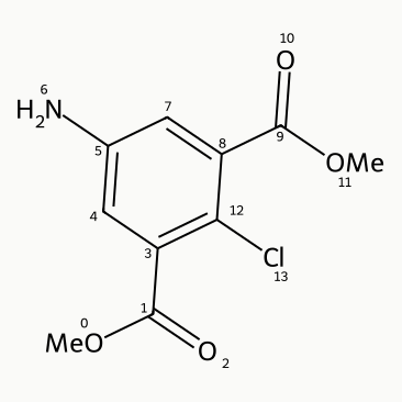 COC(=O)c1cc(N)cc(C(=O)OC)c1Cl